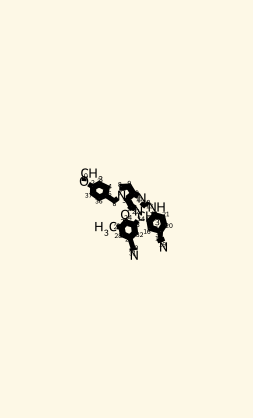 COc1ccc(Cn2ccc3nc(Nc4ccc(C#N)cc4)nc(Oc4c(C)cc(C#N)cc4C)c32)cc1